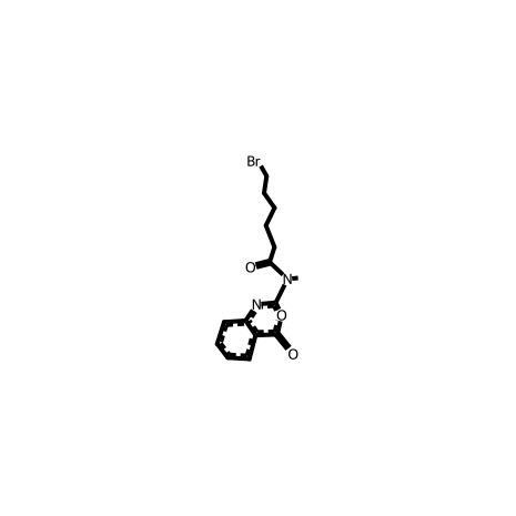 CN(C(=O)CCCCCBr)c1nc2ccccc2c(=O)o1